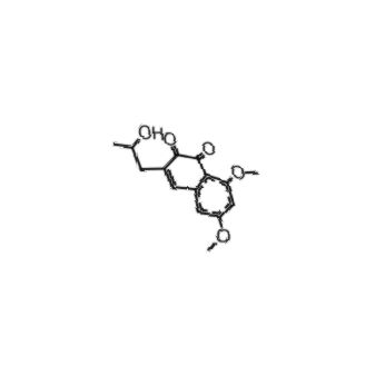 COc1cc2c(c(OC)c1)C(=O)C(=O)C(CC(C)O)=C2